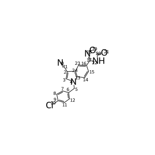 N#Cc1cn(Cc2ccc(Cl)cc2)c2ccc(-c3noc(=O)[nH]3)cc12